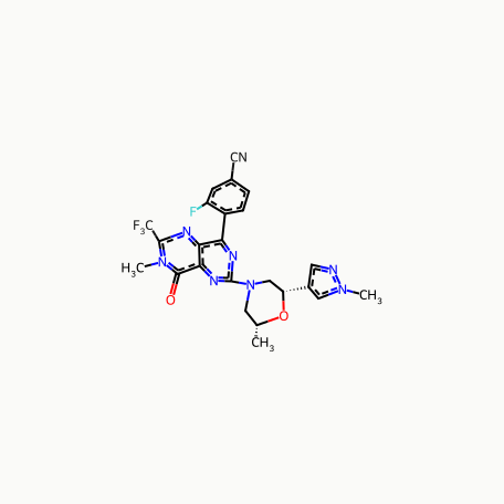 C[C@@H]1CN(c2nc(-c3ccc(C#N)cc3F)c3nc(C(F)(F)F)n(C)c(=O)c3n2)C[C@H](c2cnn(C)c2)O1